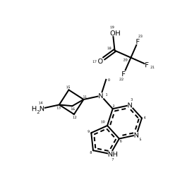 CN(c1ncnc2[nH]ccc12)C12CC(N)(C1)C2.O=C(O)C(F)(F)F